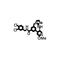 COc1cc(-c2cc(Cn3ccn(C)c3=N)cc(C(=O)NCc3ccc(Cl)c(Cl)c3)c2)c(F)cn1